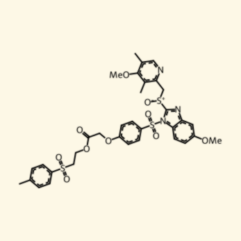 COc1ccc2c(c1)nc([S+]([O-])Cc1ncc(C)c(OC)c1C)n2S(=O)(=O)c1ccc(OCC(=O)OCCS(=O)(=O)c2ccc(C)cc2)cc1